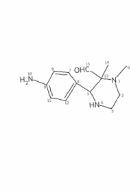 CN1CCNC(c2ccc(N)cc2)C1(C)C=O